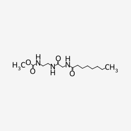 CCCCCCCC(=O)NCC(=O)NCCNC(=O)OC